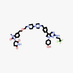 Cn1c(=O)n([C@H]2CCC(=O)NC2=O)c2ccc(CCOCCN3CCC(N4CCN(Cc5ccc(-c6cn([C@H]7CC[C@H](O)CC7)c7nc(NCCC(F)(F)F)ncc67)cc5)CC4)CC3)cc21